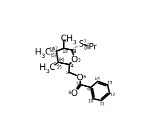 CC(C)S[C@@H]1OC(COC(=O)c2ccccc2)[C@H](C)[C@H](C)C1C